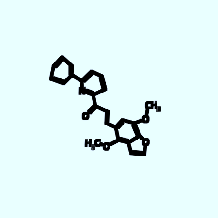 COc1c(/C=C/C(=O)c2cccc(-c3ccccc3)n2)cc(OC)c2occc12